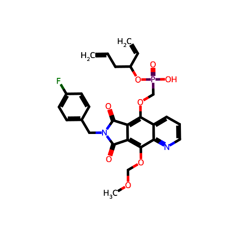 C=CCC(C=C)OP(=O)(O)COc1c2c(c(OCOC)c3ncccc13)C(=O)N(Cc1ccc(F)cc1)C2=O